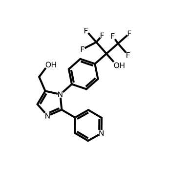 OCc1cnc(-c2ccncc2)n1-c1ccc(C(O)(C(F)(F)F)C(F)(F)F)cc1